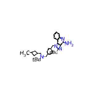 CCCCc1nc2c(N)nc3ccccc3c2n1Cc1ccc(CN(CC2CC(C)C2)C(C)(C)C)cc1